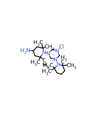 CC1(C)CCCC(C)(C)N1N1CN(Cl)CN(N2C(C)(C)CC(N)CC2(C)C)C1